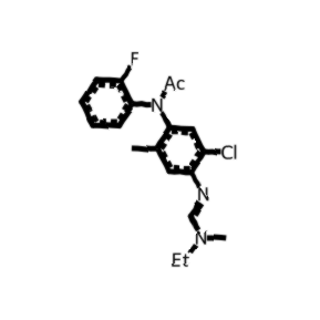 CCN(C)C=Nc1cc(C)c(N(C(C)=O)c2ccccc2F)cc1Cl